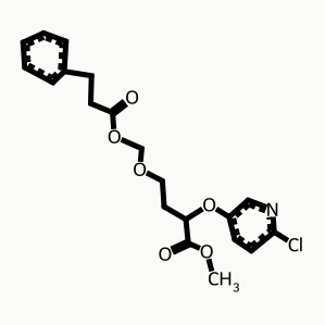 COC(=O)C(CCOCOC(=O)CCc1ccccc1)Oc1ccc(Cl)nc1